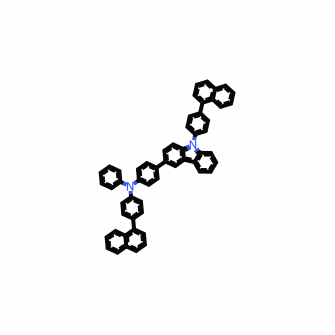 c1ccc(N(c2ccc(-c3ccc4c(c3)c3ccccc3n4-c3ccc(-c4cccc5ccccc45)cc3)cc2)c2ccc(-c3cccc4ccccc34)cc2)cc1